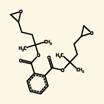 CC(C)(CCC1CO1)OC(=O)c1ccccc1C(=O)OC(C)(C)CCC1CO1